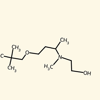 CC(CCOCC(C)(C)C)N(C)CCO